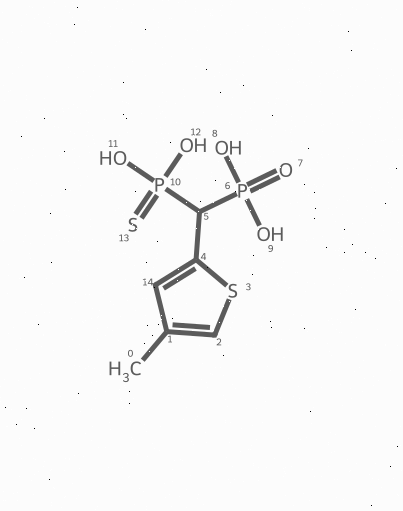 Cc1csc(C(P(=O)(O)O)P(O)(O)=S)c1